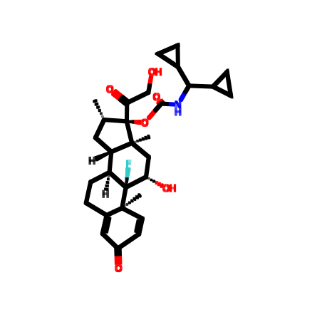 C[C@H]1C[C@H]2[C@@H]3CCC4=CC(=O)C=C[C@]4(C)[C@@]3(F)[C@@H](O)C[C@]2(C)[C@@]1(OC(=O)NC(C1CC1)C1CC1)C(=O)CO